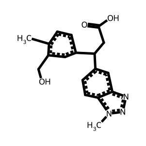 Cc1ccc(C(CC(=O)O)c2ccc3c(c2)nnn3C)cc1CO